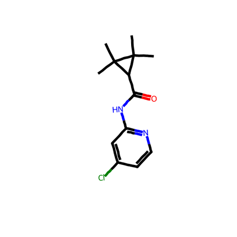 CC1(C)C(C(=O)Nc2cc(Cl)ccn2)C1(C)C